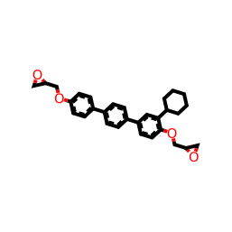 c1cc(-c2ccc(-c3ccc(OCC4CO4)c(C4CCCCC4)c3)cc2)ccc1OCC1CO1